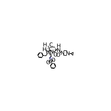 CC(C)C[C@H](NC(=O)N1CCN(C2CC2)CC1)C(=O)N[C@H](/C=C/S(=O)(=O)c1ccccc1)CCc1ccccc1